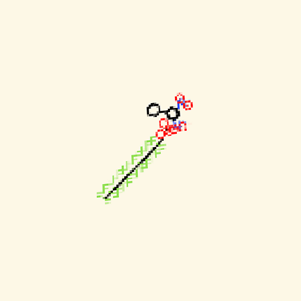 O=C(OCC(F)(F)C(F)(F)C(F)(F)C(F)(F)C(F)(F)C(F)(F)C(F)(F)C(F)(F)C(F)(F)C(F)(F)C(F)(F)C(F)F)Oc1c(C2CCCCC2)cc([N+](=O)[O-])cc1[N+](=O)[O-]